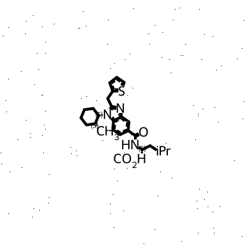 CC(C)C[C@H](NC(=O)c1ccc2c(c1)nc(Cc1cccs1)n2[C@H]1CCCC[C@@H]1C)C(=O)O